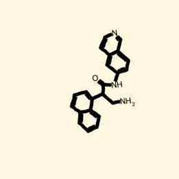 NCC(C(=O)Nc1ccc2cnccc2c1)c1cccc2ccccc12